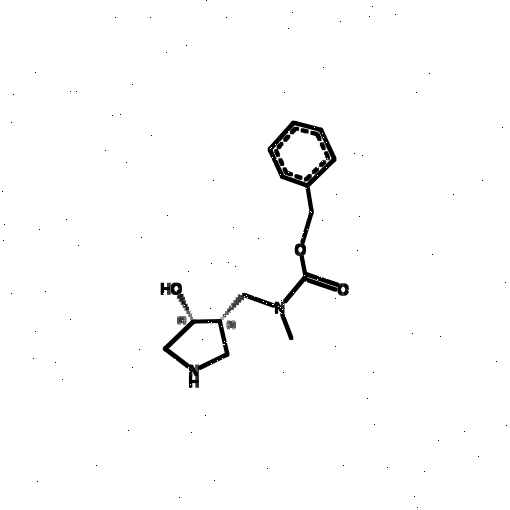 CN(C[C@@H]1CNC[C@@H]1O)C(=O)OCc1ccccc1